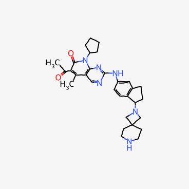 CC(=O)c1c(C)c2cnc(Nc3ccc4c(c3)CCC4N3CC4(CCNCC4)C3)nc2n(C2CCCC2)c1=O